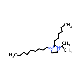 CCCCCCCCC[n+]1ccn(C(C)C)c1CCCCCC